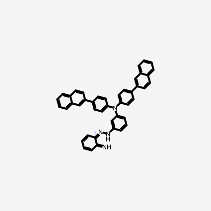 N=C1C=CC=C/C1=N/Nc1cccc(N(c2ccc(-c3ccc4ccccc4c3)cc2)c2ccc(-c3ccc4ccccc4c3)cc2)c1